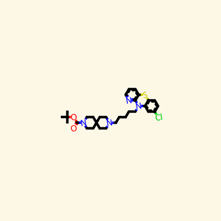 CC(C)(C)OC(=O)N1CCC2(CCN(CCCCCN3c4cc(Cl)ccc4Sc4cccnc43)CC2)CC1